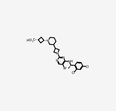 C[C@@H](Nc1nc(N2CC(C3CCCN([C@H]4C[C@@H](C(=O)O)C4)C3)C2)ncc1Br)c1ccc(Cl)cc1Cl